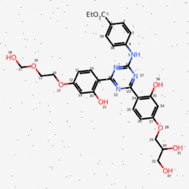 CCOC(=O)c1ccc(Nc2nc(-c3ccc(OCCOCO)cc3O)nc(-c3ccc(OCC(O)CO)cc3O)n2)cc1